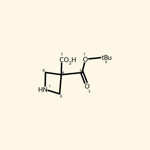 CC(C)(C)OC(=O)C1(C(=O)O)CNC1